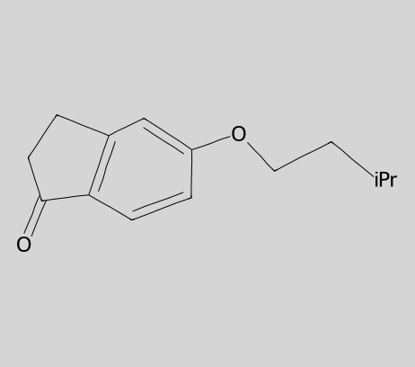 CC(C)CCOc1ccc2c(c1)CCC2=O